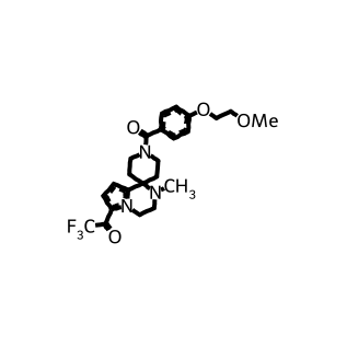 COCCOc1ccc(C(=O)N2CCC3(CC2)c2ccc(C(=O)C(F)(F)F)n2CCN3C)cc1